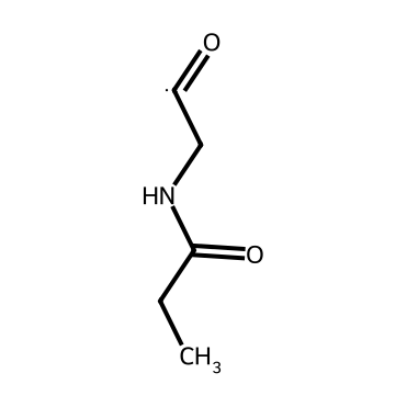 CCC(=O)NC[C]=O